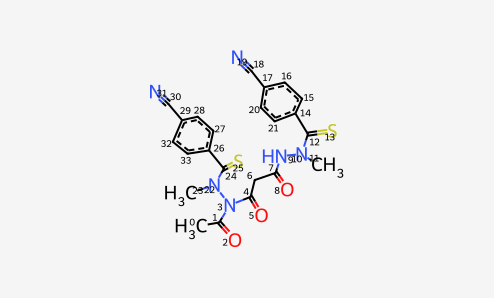 CC(=O)N(C(=O)CC(=O)NN(C)C(=S)c1ccc(C#N)cc1)N(C)C(=S)c1ccc(C#N)cc1